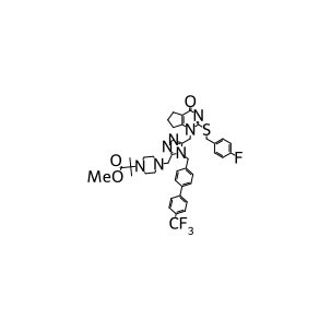 COC(=O)C(C)(C)N1CCN(Cc2nnc(Cn3c(SCc4ccc(F)cc4)nc(=O)c4c3CCC4)n2Cc2ccc(-c3ccc(C(F)(F)F)cc3)cc2)CC1